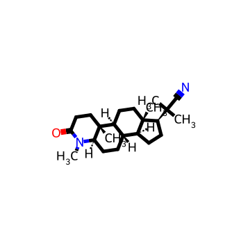 CN1C(=O)CC[C@]2(C)[C@H]3CC[C@]4(C)[C@@H](C(C)(C)C#N)CC[C@H]4[C@@H]3CC[C@@H]12